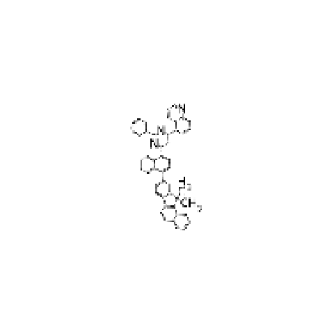 CC1(C)c2cc(-c3ccc(-c4cc(-c5cccc6ncccc56)nc(-c5ccccc5)n4)c4ccccc34)ccc2-c2ccc3ccccc3c21